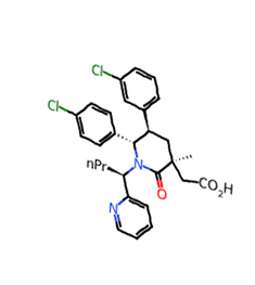 CCC[C@H](c1ccccn1)N1C(=O)[C@](C)(CC(=O)O)C[C@H](c2cccc(Cl)c2)[C@H]1c1ccc(Cl)cc1